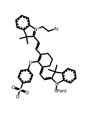 CCCCCN1/C(=C/C=C2\CCCC(/C=C/C3=[N+](CCC(C)=O)c4ccccc4C3(C)C)=C2Oc2ccc(S(=O)(=O)[O-])cc2)C(C)(C)c2ccccc21